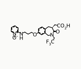 O=C(O)C[C@@H]1Cc2ccc(OCCCNc3cccc[n+]3[O-])cc2CN(CC(F)(F)F)C1=O